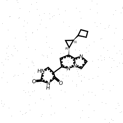 O=c1[nH]cc(-c2cc([C@@H]3C[C@H]3C3CCC3)c3nccn3n2)c(=O)[nH]1